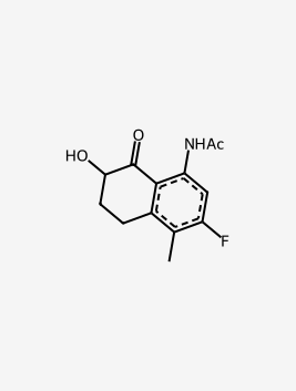 CC(=O)Nc1cc(F)c(C)c2c1C(=O)C(O)CC2